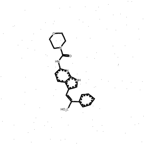 O=C(O)C(=Cc1c[nH]c2nc(NC(=O)N3CCOCC3)ccc12)c1ccccc1